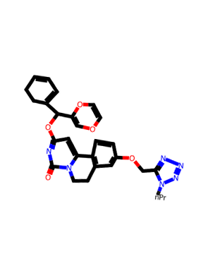 CCCn1nnnc1COc1ccc2c(c1)CCn1c-2cc(OC(C2=CC=CCC2)C2=COC=CO2)nc1=O